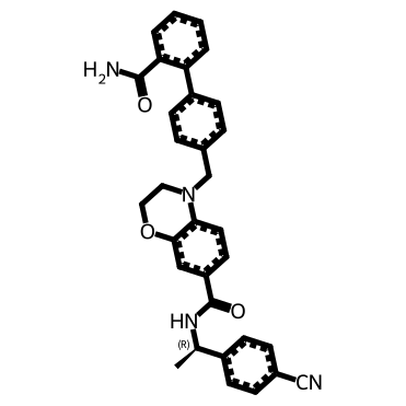 C[C@@H](NC(=O)c1ccc2c(c1)OCCN2Cc1ccc(-c2ccccc2C(N)=O)cc1)c1ccc(C#N)cc1